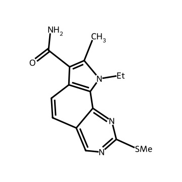 CCn1c(C)c(C(N)=O)c2ccc3cnc(SC)nc3c21